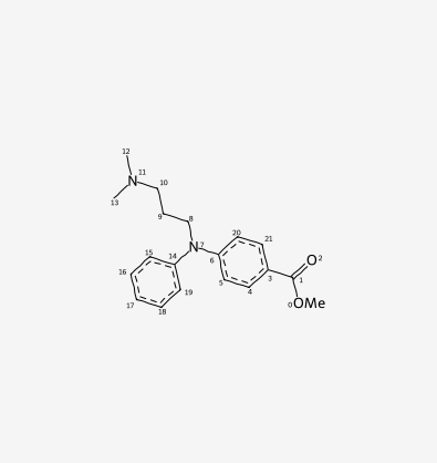 COC(=O)c1ccc(N(CCCN(C)C)c2ccccc2)cc1